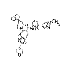 Cn1cc(-c2cccc(NC(=O)c3cc4oc(N5CCOCC5)nc4nc3N3CCC4(CCO4)CC3)n2)cn1